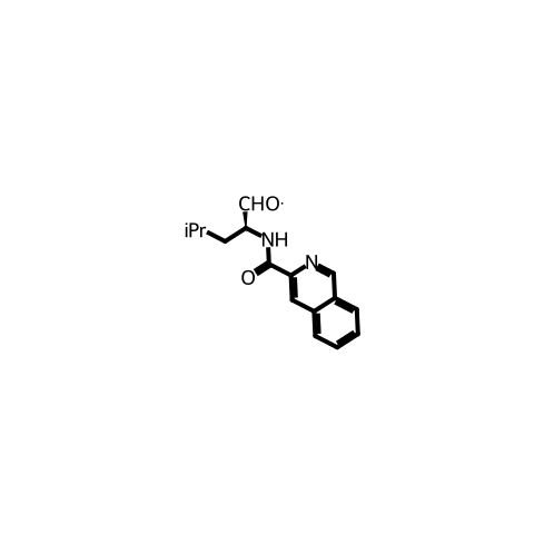 CC(C)C[C@@H]([C]=O)NC(=O)c1cc2ccccc2cn1